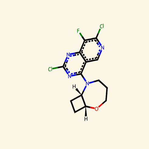 Fc1c(Cl)ncc2c(N3CCCO[C@@H]4CC[C@@H]43)nc(Cl)nc12